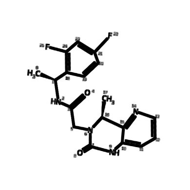 C[C@H](NC(=O)CN1C(=O)Nc2cccnc2[C@@H]1C)c1ccc(F)cc1F